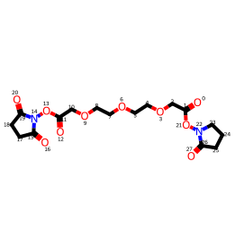 O=C(COCCOCCOCC(=O)ON1C(=O)CCC1=O)ON1CCCC1=O